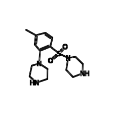 Cc1ccc(S(=O)(=O)N2CCNCC2)c(N2CCNCC2)c1